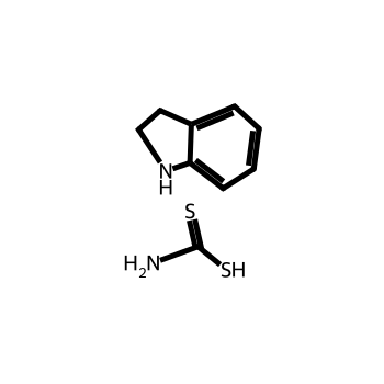 NC(=S)S.c1ccc2c(c1)CCN2